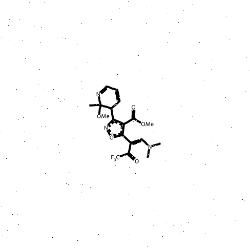 COC(=O)c1c(C2C=CC=NC2(C)OC)noc1/C(=C/N(C)C)C(=O)C(F)(F)F